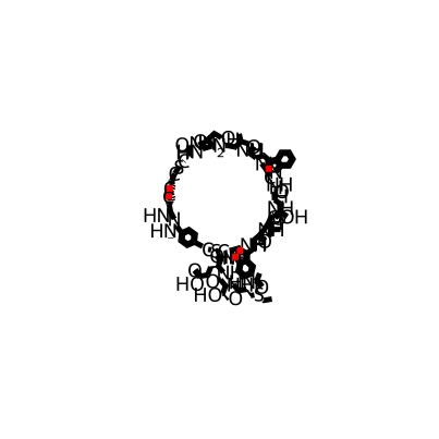 CCSC[C@H](NC(C)=O)C(=O)N[C@H](C(=O)N[C@@H](CCC(=O)O)C(=O)N[C@H]1CSCc2ccc(cc2)/C(NC)=N/C(=N)c2ccc(cc2)CSC[C@@H](C(N)=O)NC(=O)[C@@H]2CCCN2C(=O)[C@H](C(C)C)NC(=O)[C@H](Cc2c[nH]c3ccccc23)NC(=O)CNC(=O)[C@H](CC(=O)O)NC(=O)[C@H](C(C)C)NC(=O)[C@H](Cc2c[nH]c3ccccc23)NC1=O)[C@@H](C)O